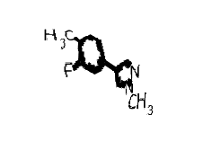 Cc1ccc(-c2cnn(C)c2)cc1F